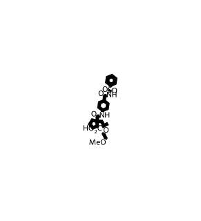 COCCOC(C)(CC1(C(=O)NC2CCC(C(=O)NS(=O)(=O)c3ccccc3)CC2)CCCC1)C(=O)O